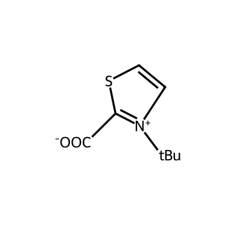 CC(C)(C)[n+]1ccsc1C(=O)[O-]